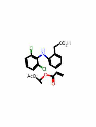 C=CC(=O)OC(C)OC(C)=O.O=C(O)Cc1ccccc1Nc1c(Cl)cccc1Cl